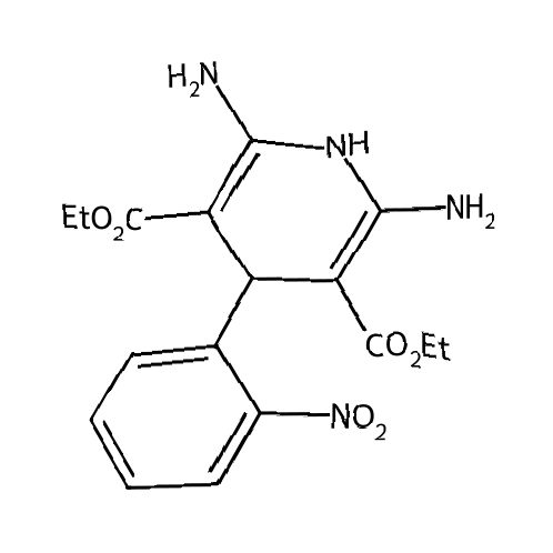 CCOC(=O)C1=C(N)NC(N)=C(C(=O)OCC)C1c1ccccc1[N+](=O)[O-]